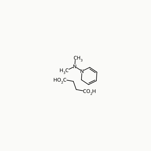 CN(C)N1C=CC=CC1.O=C(O)CCC(=O)O